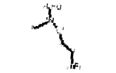 [CH2]N(C=O)CCCCCC